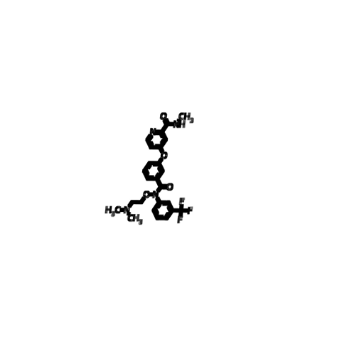 CNC(=O)c1cc(Oc2cccc(C(=O)N(OCCN(C)C)c3cccc(C(F)(F)F)c3)c2)ccn1